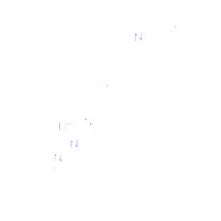 c1ccc2c(N3CCN4C[C@@H](COc5ccc(CN6CCOCC6)cc5)CC[C@H]4C3)noc2c1